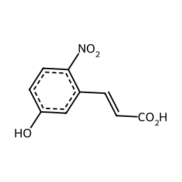 O=C(O)C=Cc1cc(O)ccc1[N+](=O)[O-]